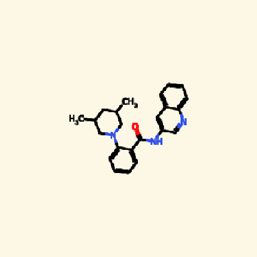 CC1CC(C)CN(c2ccccc2C(=O)Nc2cnc3ccccc3c2)C1